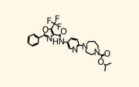 CC(C)OC(=O)N1CCCN(c2ccc(NC(=O)c3nc(-c4ccccc4)oc3C(F)(F)F)cn2)CC1